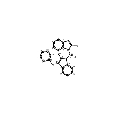 CC1=Cc2ccccc2[C]1[SiH2][C]1C(C)=C(Cc2ccccc2)c2ccccc21